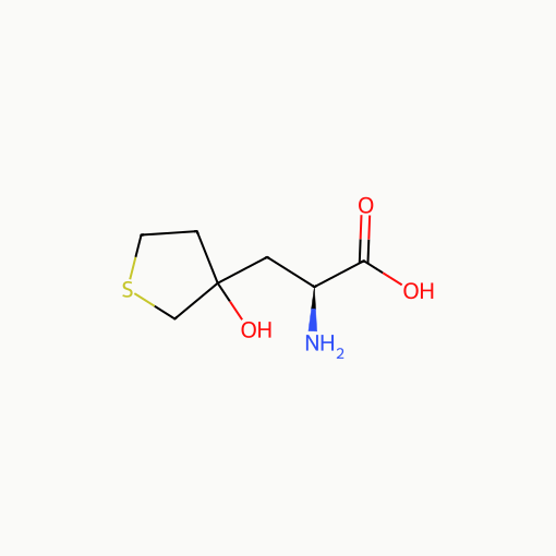 N[C@@H](CC1(O)CCSC1)C(=O)O